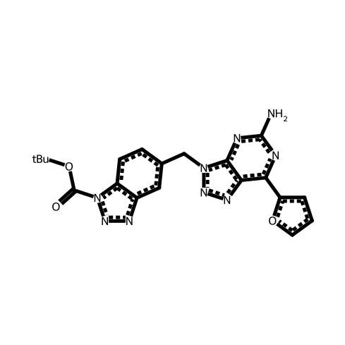 CC(C)(C)OC(=O)n1nnc2cc(Cn3nnc4c(-c5ccco5)nc(N)nc43)ccc21